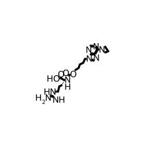 N=C(N)NCCC[C@@H](NC(=O)OCCCCCn1cnc2c(N3CCC3)ncnc21)C(=O)O